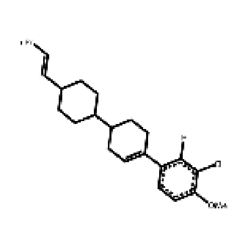 CCC/C=C/C1CCC(C2CC=C(c3ccc(OC)c(Cl)c3F)CC2)CC1